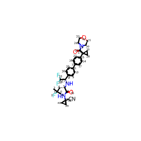 CC(C)(F)C[C@H](N[C@@H](c1ccc(-c2ccc(C3(C(=O)N4CCOCC4)CC3)cc2)cc1)C(F)F)C(=O)NC1(C#N)CC1